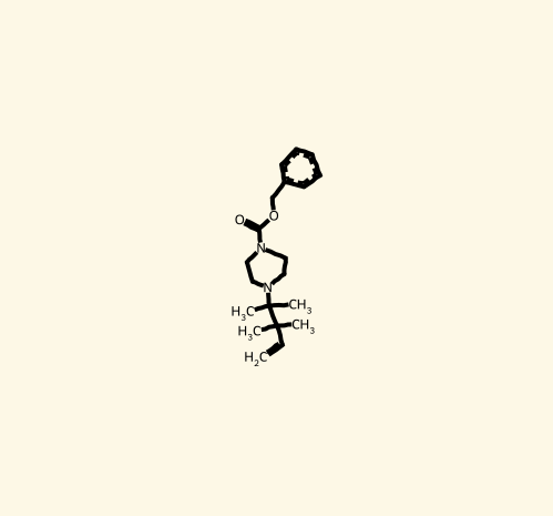 C=CC(C)(C)C(C)(C)N1CCN(C(=O)OCc2ccccc2)CC1